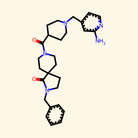 Nc1cc(CN2CCC(C(=O)N3CCC4(CC3)CCN(Cc3ccccc3)C4=O)CC2)ccn1